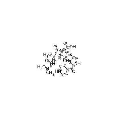 C[C@@H](NC(=O)CN(C)C)[C@H]1C(=O)N2C(C(=O)O)=C(S[C@@H]3CN[C@H](C(=O)N4CCNCC4)C3)[C@H](C)[C@H]12